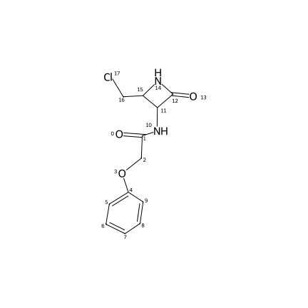 O=C(COc1ccccc1)NC1C(=O)NC1CCl